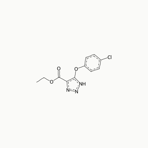 CCOC(=O)c1nn[nH]c1Oc1ccc(Cl)cc1